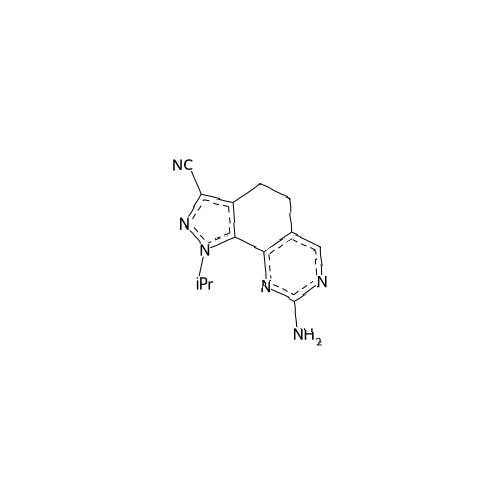 CC(C)n1nc(C#N)c2c1-c1nc(N)ncc1CC2